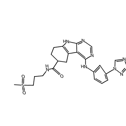 CS(=O)(=O)CCCNC(=O)C1CCc2[nH]c3ncnc(Nc4cccc(-n5cnnn5)c4)c3c2C1